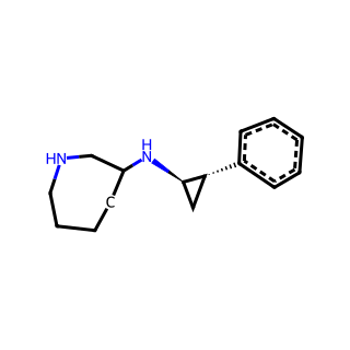 c1ccc([C@@H]2C[C@H]2NC2CCCCNC2)cc1